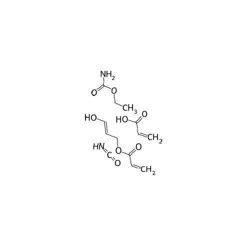 C=CC(=O)O.C=CC(=O)OCC=CO.CCOC(N)=O.N=C=O